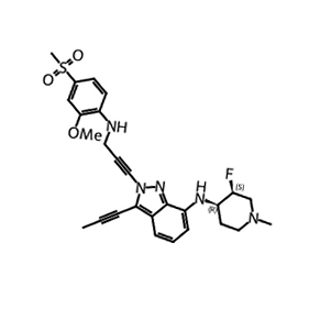 CC#Cc1c2cccc(N[C@@H]3CCN(C)C[C@@H]3F)c2nn1C#CCNc1ccc(S(C)(=O)=O)cc1OC